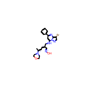 C\C(=C/C=C(\C=N\O)CNc1cc(-c2ccccc2)nc2c(Br)cnn12)N1CCOCC1